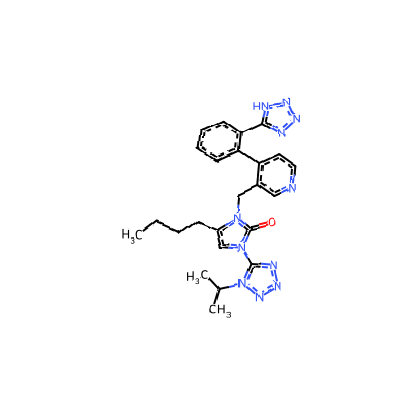 CCCCc1cn(-c2nnnn2C(C)C)c(=O)n1Cc1cnccc1-c1ccccc1-c1nnn[nH]1